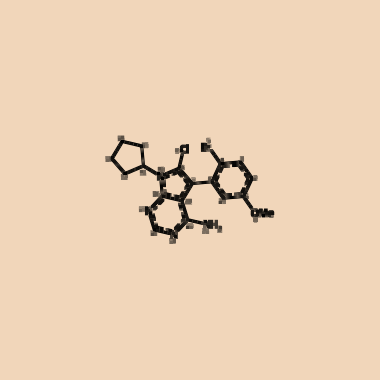 COc1ccc(Br)c(-c2c(Cl)n(C3CCCC3)c3ncnc(N)c23)c1